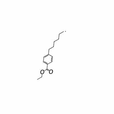 [CH2]CCCCCc1ccc(C(=O)OCC)cc1